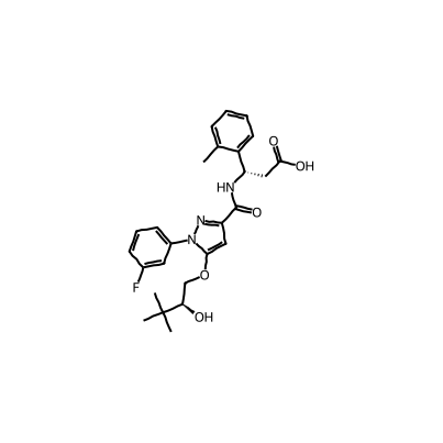 Cc1ccccc1[C@H](CC(=O)O)NC(=O)c1cc(OC[C@@H](O)C(C)(C)C)n(-c2cccc(F)c2)n1